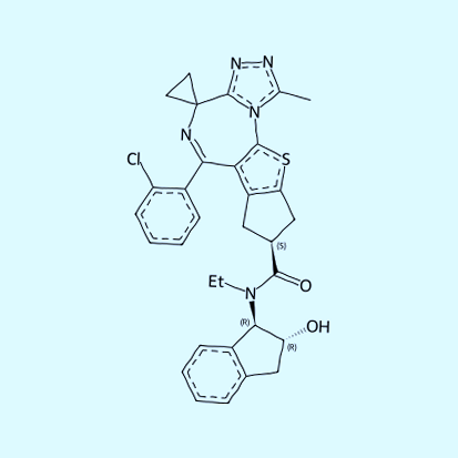 CCN(C(=O)[C@@H]1Cc2sc3c(c2C1)C(c1ccccc1Cl)=NC1(CC1)c1nnc(C)n1-3)[C@@H]1c2ccccc2C[C@H]1O